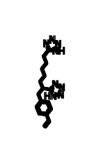 C=Cc1ccc(CC(CCCCCc2nnn[nH]2)c2nnn[nH]2)cc1